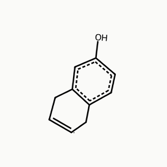 Oc1ccc2c(c1)CC=[C]C2